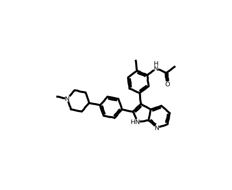 CC(=O)Nc1cc(-c2c(-c3ccc(C4CCN(C)CC4)cc3)[nH]c3ncccc23)ccc1C